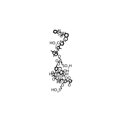 Cc1c(-c2ccc(N3CCc4cccc(C(=O)Nc5nc6ccccc6s5)c4C3)nc2C(=O)O)cnn1CC12CC3(C)CC(C)(C1)CC(OCCN(CCS(=O)(=O)O)C(=O)OCc1ccc(NC(=O)C(C)NC(=O)C(NC(=O)CN4C(=O)[C@@H](N5C(=O)C=CC5=O)C[C@H]4COCCS(=O)(=O)O)C(C)C)cc1CC[C@@H]1O[C@H](C(=O)O)[C@@H](O)[C@H](O)[C@H]1O)(C3)C2